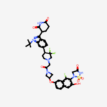 CC(C)(C)n1nc(C2CCC(=O)NC2=O)c2ccc(C3CCN(CC(=O)N4CC(Oc5ccc6cc(O)c(N7CC(=O)NS7(=O)=O)c(F)c6c5)C4)CC3(F)F)cc21